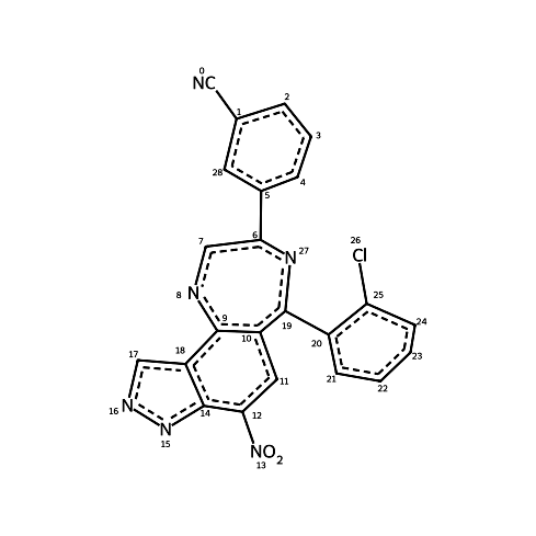 N#Cc1cccc(-c2cnc3c(cc([N+](=O)[O-])c4nncc43)c(-c3ccccc3Cl)n2)c1